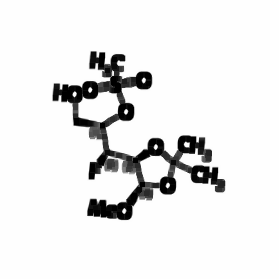 CO[C@@H]1OC(C)(C)O[C@@H]1[C@@H](F)[C@@H](CO)OS(C)(=O)=O